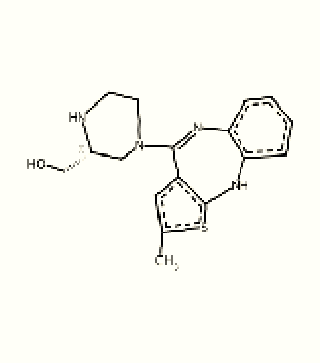 Cc1cc2c(s1)Nc1ccccc1N=C2N1CCN[C@@H](CO)C1